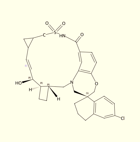 O=C1NS(=O)(=O)CC2CC2/C=C/[C@H](O)[C@@H]2CC[C@H]2CN2C[C@@]3(CCCc4cc(Cl)ccc43)COc3ccc1cc32